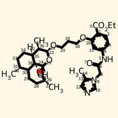 CCOC(=O)c1ccc(NC(=O)Cn2cncc2C)cc1OCCCO[C@H]1O[C@@H]2O[C@@]3(C)CCC4[C@H](C)CC[C@@H]([C@H]1C)[C@]42OO3